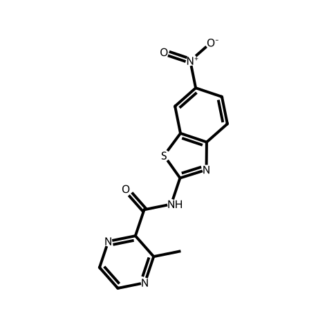 Cc1nccnc1C(=O)Nc1nc2ccc([N+](=O)[O-])cc2s1